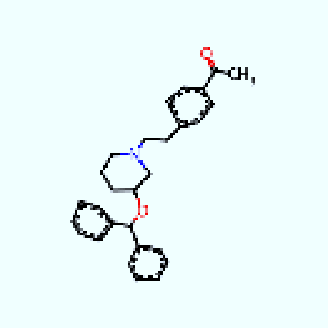 CC(=O)c1ccc(CCN2CCCC(OC(c3ccccc3)c3ccccc3)C2)cc1